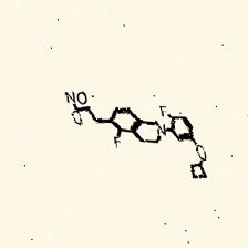 O=NC(=O)CCc1ccc2c(c1F)CCN(c1cc(OC3CCC3)ccc1F)C2